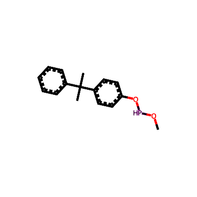 COPOc1ccc(C(C)(C)c2ccccc2)cc1